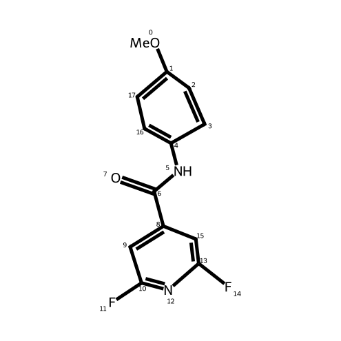 COc1ccc(NC(=O)c2cc(F)nc(F)c2)cc1